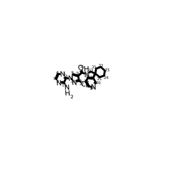 Nc1nccnc1-n1cc(C(=O)NCC2(c3cccnc3)CCCCC2)c(C(F)(F)F)n1